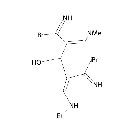 CCN/C=C(\C(=N)C(C)C)C(O)/C(=C/NC)C(=N)Br